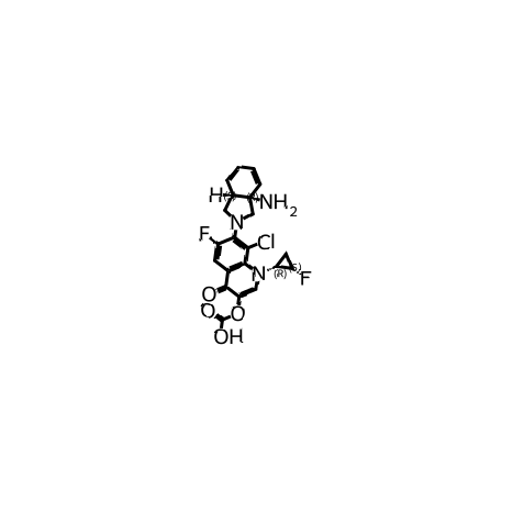 N[C@]12C=CC=C[C@H]1CN(c1c(F)cc3c(=O)c(OC(=O)O)cn([C@@H]4C[C@@H]4F)c3c1Cl)C2